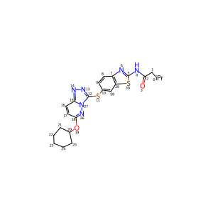 CC(C)CC(=O)Nc1nc2ccc(Sc3nnc4ccc(OC5CCCCC5)nn34)cc2s1